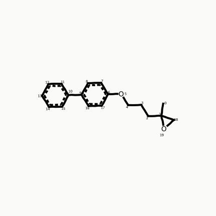 CC1(CCCOc2ccc(-c3ccccc3)cc2)CO1